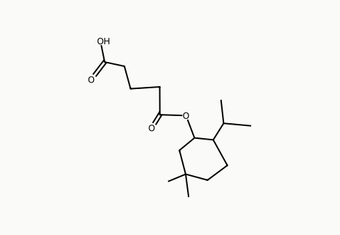 CC(C)C1CCC(C)(C)CC1OC(=O)CCCC(=O)O